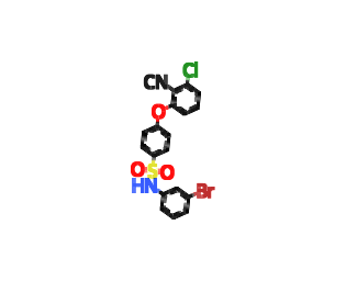 [C-]#[N+]c1c(Cl)cccc1Oc1ccc(S(=O)(=O)Nc2cccc(Br)c2)cc1